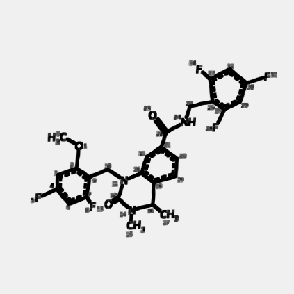 COc1cc(F)cc(F)c1CN1C(=O)N(C)C(C)c2ccc(C(=O)NCc3c(F)cc(F)cc3F)cc21